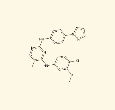 COc1cc(Nc2nc(Nc3ccc(-n4cccn4)cc3)ncc2C)ccc1Cl